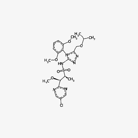 COc1cccc(OC)c1-n1c(COC(C)C)nnc1NS(=O)(=O)[C@@H](C)[C@H](OC)c1ncc(Cl)cn1